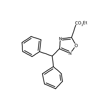 CCOC(=O)c1nc(C(c2ccccc2)c2ccccc2)no1